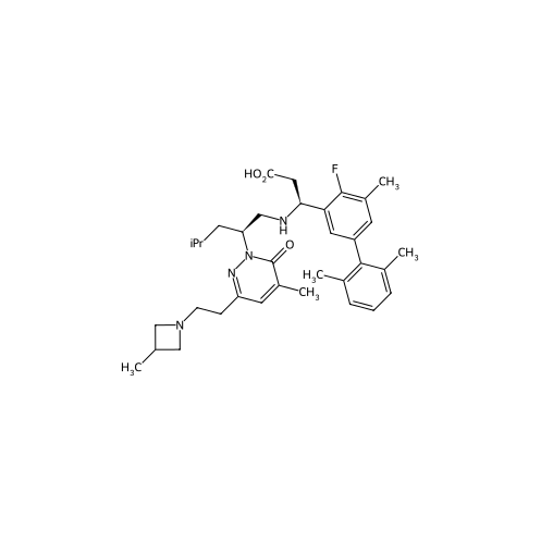 Cc1cc(-c2c(C)cccc2C)cc([C@H](CC(=O)O)NC[C@H](CC(C)C)n2nc(CCN3CC(C)C3)cc(C)c2=O)c1F